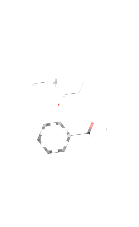 CC[SiH](O)[SiH2][SiH3].O=C([O-])c1ccccc1.[Na+]